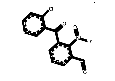 O=[C]c1cccc(C(=O)c2ccccc2Cl)c1[N+](=O)[O-]